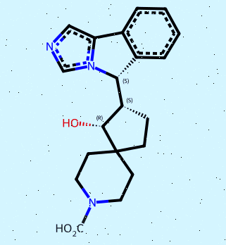 O=C(O)N1CCC2(CC[C@@H]([C@H]3c4ccccc4-c4cncn43)[C@H]2O)CC1